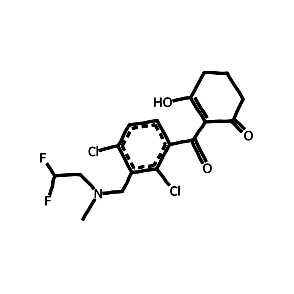 CN(Cc1c(Cl)ccc(C(=O)C2=C(O)CCCC2=O)c1Cl)CC(F)F